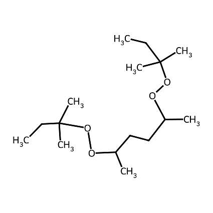 CCC(C)(C)OOC(C)CCC(C)OOC(C)(C)CC